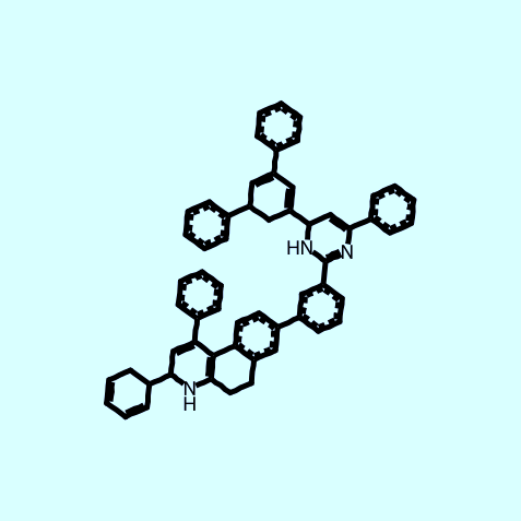 C1=CCC(C2C=C(c3ccccc3)C3=C(CCc4cc(-c5cccc(C6=NC(c7ccccc7)=CC(C7=CC(c8ccccc8)=CC(c8ccccc8)C7)N6)c5)ccc43)N2)C=C1